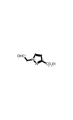 CCOC(=O)c1ccn(CC=O)n1